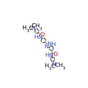 CN(C)c1ccc(NC(=O)c2ccc3[nH]c(-c4ccc(NC(=O)c5ccc(N(C)C)cc5)cc4)nc3c2)cc1